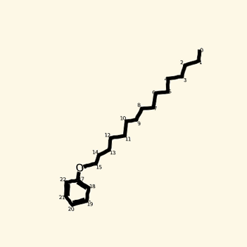 CCCCCCCCCCCCCCCCOc1c[c]ccc1